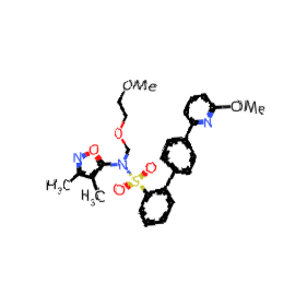 COCCOCN(c1onc(C)c1C)S(=O)(=O)c1ccccc1-c1ccc(-c2cccc(OC)n2)cc1